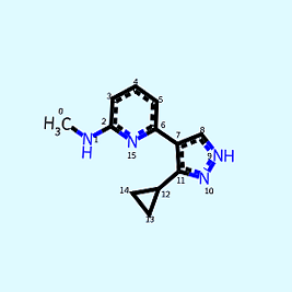 CNc1cccc(-c2c[nH]nc2C2CC2)n1